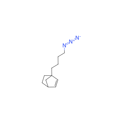 [N-]=[N+]=NCCCCC12C=CC(CC1)C2